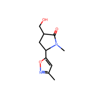 Cc1cc(C2CC(CO)C(=O)N2C)on1